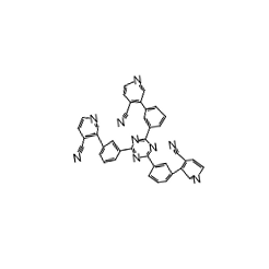 N#Cc1ccncc1-c1cccc(-c2nc(-c3cccc(-c4cnccc4C#N)c3)nc(-c3cccc(-c4cnccc4C#N)c3)n2)c1